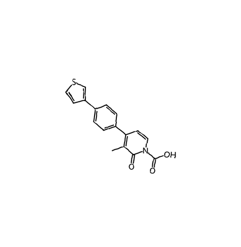 Cc1c(-c2ccc(-c3ccsc3)cc2)ccn(C(=O)O)c1=O